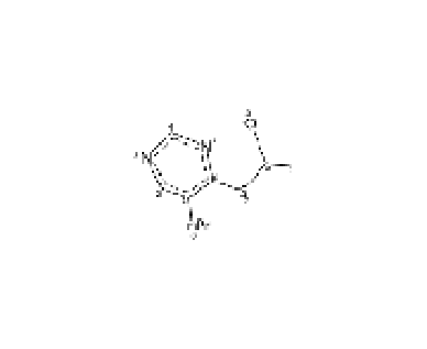 CCCc1cncnc1SC(C)[O]